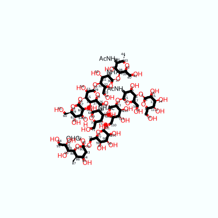 CC(=O)NC1C(O)[C@H](O[C@@H]2OC(CO)[C@H](O)[C@H](O)C2O)C(CO)O[C@H]1OC1[C@@H](OCC2O[C@@H](O[C@@H]3C(CO)O[C@@H](O[C@@H]4C(CO)O[C@@H](C)C(NC(C)=O)[C@H]4O)C(NC(C)=O)[C@H]3O)C(O)[C@@H](OC3O[C@H](CO)[C@@H](O)C(O)C3O[C@@H]3OC(CO)[C@@H](O[C@@H]4OC(CO[C@]5(OC=O)CC(O)[C@@H](C)C([C@H](O)[C@H](O)CO)O5)[C@H](O)[C@H](O)C4O)[C@H](O)C3NC(C)=O)[C@@H]2O)OC(CO)[C@@H](O)[C@@H]1O